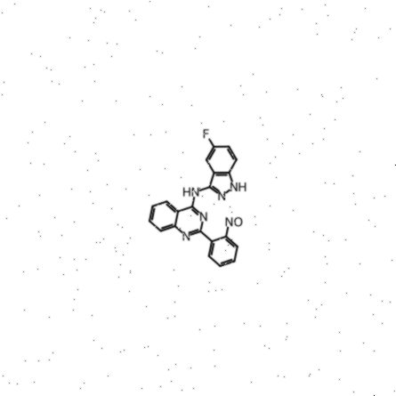 O=Nc1ccccc1-c1nc(Nc2n[nH]c3ccc(F)cc23)c2ccccc2n1